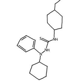 CCC1CCC(NC(=S)NN(c2ccccc2)C2CCCCC2)CC1